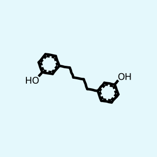 Oc1cccc(CCCCc2cccc(O)c2)c1